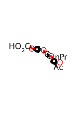 CCCC1C(=O)C(C(C)=O)=CC=C1OCCCOc1ccc(OCC(=O)O)cc1